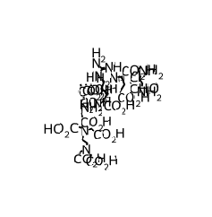 CC(=O)O.CC(=O)O.CC(=O)O.CC(=O)O.N=C(N)NCCC[C@H](N)C(=O)O.NCC(=O)O.NCCN.N[C@@H](CCC(=O)O)C(=O)O.O=C(O)CN(CCN(CC(=O)O)CC(=O)O)CC(=O)O.O=CCCl